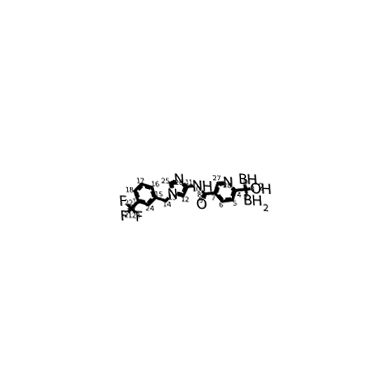 BC(B)(O)c1ccc(C(=O)Nc2cn(Cc3cccc(C(F)(F)F)c3)cn2)cn1